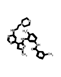 Cc1cccc(C(=O)Nc2ccc(C)c(Nc3nn(C)cc3-c3cc(NCCN4CCOCC4)ncn3)c2)c1